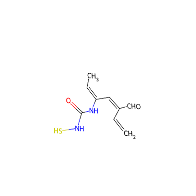 C=C/C(C=O)=C\C(=C/C)NC(=O)NS